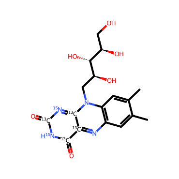 Cc1cc2n[13c]3[13c](=O)[15nH][13c](=O)[15n][13c]-3n(C[C@H](O)[C@H](O)[C@H](O)CO)c2cc1C